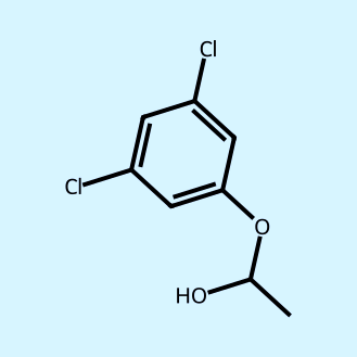 CC(O)Oc1cc(Cl)cc(Cl)c1